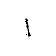 [CH2]C(C)C(=O)CCCCCCCCCCCCCCC(C)C